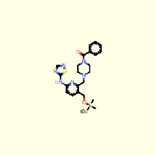 CC(C)(C)[Si](C)(C)OCc1ccc(Nc2ncns2)nc1CN1CCN(C(=O)c2ccccc2)CC1